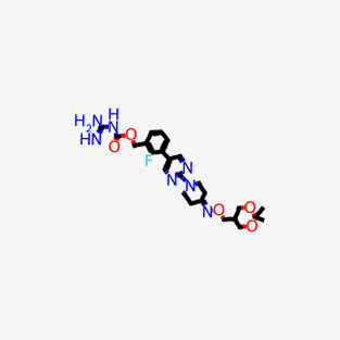 CC1(C)OCC(CON=C2CCN(c3ncc(-c4cccc(COC(=O)NC(=N)N)c4F)cn3)CC2)CO1